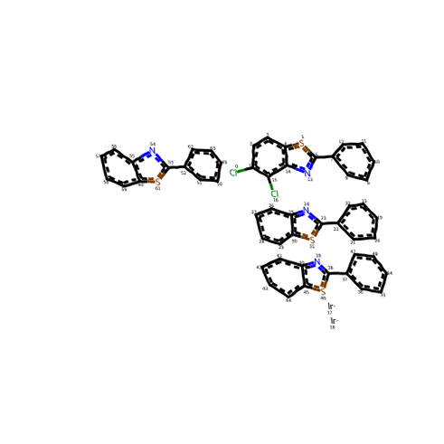 Clc1ccc2sc(-c3ccccc3)nc2c1Cl.[Ir].[Ir].c1ccc(-c2nc3ccccc3s2)cc1.c1ccc(-c2nc3ccccc3s2)cc1.c1ccc(-c2nc3ccccc3s2)cc1